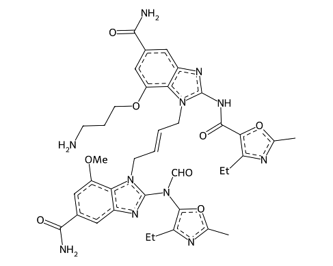 CCc1nc(C)oc1C(=O)Nc1nc2cc(C(N)=O)cc(OCCCN)c2n1CC=CCn1c(N(C=O)c2oc(C)nc2CC)nc2cc(C(N)=O)cc(OC)c21